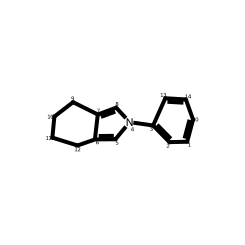 c1ccc(-n2cc3c(c2)CCCC3)cc1